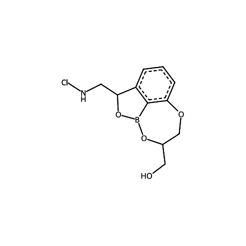 OCC1COc2cccc3c2B(O1)OC3CNCl